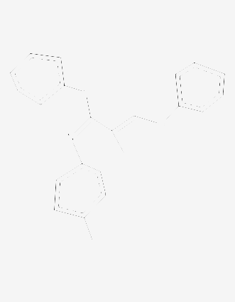 CC(=C\Oc1ccccc1)/C(=N\c1ccc(Cl)cc1)Sc1ccccc1